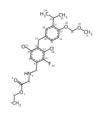 CCOC(=O)CNCc1cc(Cl)c(Cc2ccc(OCOC)c(C(C)C)c2)c(Cl)c1F